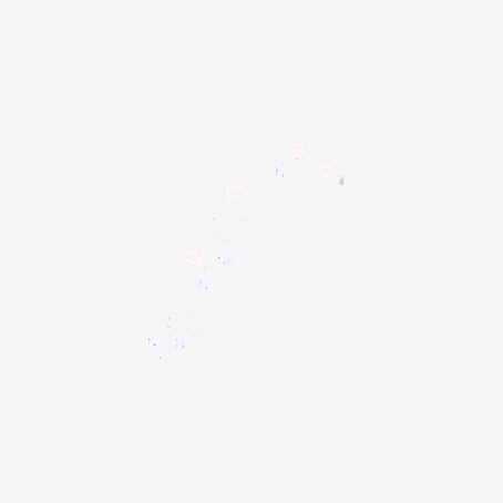 CC(C)OCC(=O)N1CCC(Oc2ccc(NC(=O)NCc3ccn4ccnc4c3)cc2)CC1